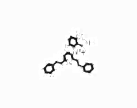 O=C(O)c1c(Br)ccc(F)c1Nc1ccc(CCc2ccccc2)nc1CCc1ccccc1